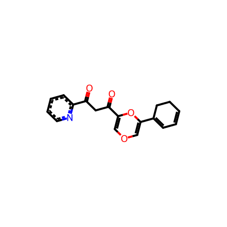 O=C(CC(=O)c1ccccn1)C1=COC=C(C2=CC=CCC2)O1